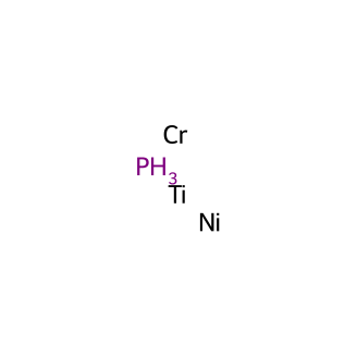 P.[Cr].[Ni].[Ti]